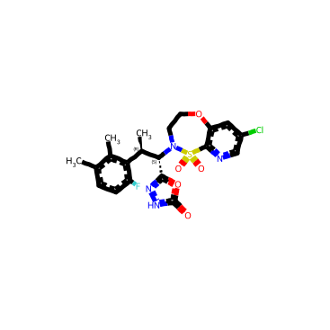 Cc1ccc(F)c([C@@H](C)[C@@H](c2n[nH]c(=O)o2)N2CCOc3cc(Cl)cnc3S2(=O)=O)c1C